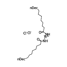 CCCCCCCCCCCCCCCCCC(=O)[NH][Ti+2][NH]C(=O)CCCCCCCCCCCCCCCCC.[Cl-].[Cl-]